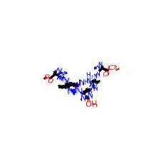 COC(=O)c1cnn(C)c1/N=N/c1c(C)nn(-c2cc(-n3nc(C)c(/N=N/c4c(C(=O)OC)cnn4C)c3N)nc(O)n2)c1N